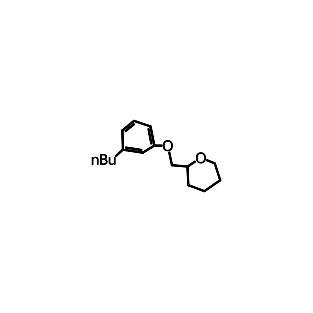 CCCCc1cccc(OCC2CCCCO2)c1